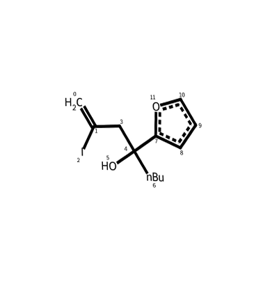 C=C(I)CC(O)(CCCC)c1ccco1